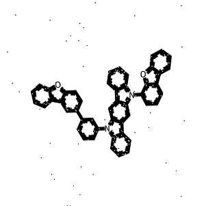 c1cc(-c2ccc3oc4ccccc4c3c2)cc(-n2c3ccccc3c3cc4c(cc32)c2ccccc2n4-c2cccc3c2oc2ccccc23)c1